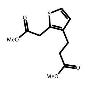 COC(=O)CCc1ccsc1CC(=O)OC